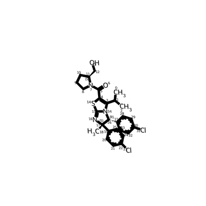 CC(C)C1=C(C(=O)N2CCC[C@H]2CO)SC2=N[C@@](C)(c3ccc(Cl)cc3)[C@@H](c3ccc(Cl)cc3)N21